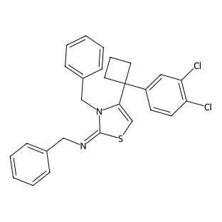 Clc1ccc(C2(c3csc(=NCc4ccccc4)n3Cc3ccccc3)CCC2)cc1Cl